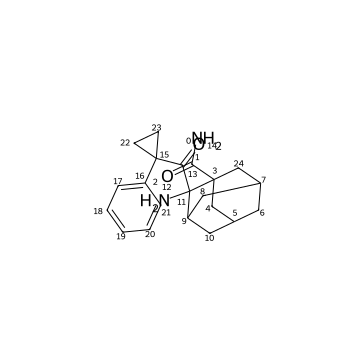 NC(=O)C12CC3CC(CC(C3)C1(N)C(=O)C1(c3ccccc3)CC1)C2